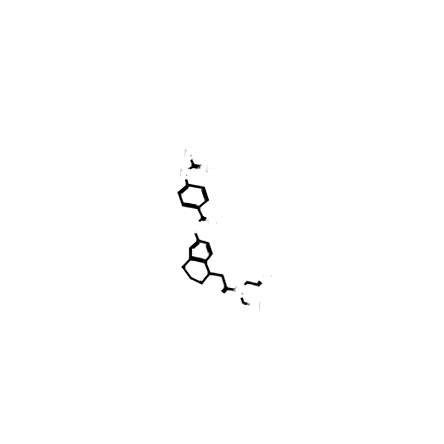 CCN(CC=O)C(=O)CC1CCCc2cc(OC(=O)c3ccc(NC(=N)N)cc3)ccc21